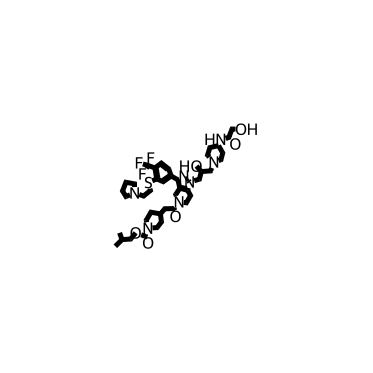 CC(C)COC(=O)N1CCC(CC(=O)N2CCc3c(c(-c4ccc(C(F)(F)F)c(SCCN5CCCC5)c4)nn3CC(O)CN3CCC(NC(=O)CO)CC3)C2)CC1